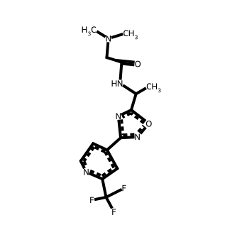 CC(NC(=O)CN(C)C)c1nc(-c2ccnc(C(F)(F)F)c2)no1